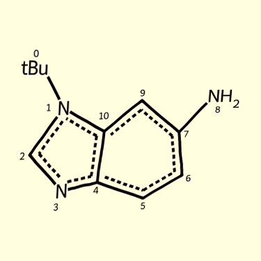 CC(C)(C)n1cnc2ccc(N)cc21